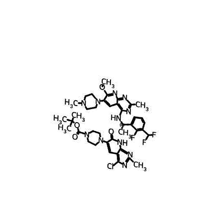 COc1nc2nc(C)nc(N[C@H](C)c3cccc(C(F)F)c3F)c2cc1N1CCN(C)CC1.Cc1nc(Cl)c2cc(N3CCN(C(=O)OC(C)(C)C)CC3)c(=O)[nH]c2n1